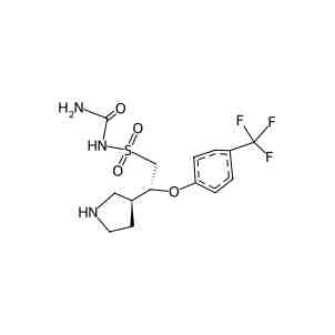 NC(=O)NS(=O)(=O)C[C@H](Oc1ccc(C(F)(F)F)cc1)[C@H]1CCNC1